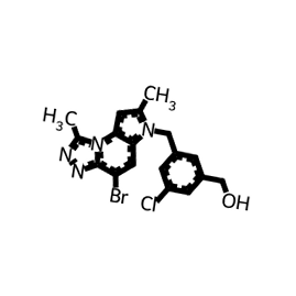 Cc1cc2c(cc(Br)c3nnc(C)n32)n1Cc1cc(Cl)cc(CO)c1